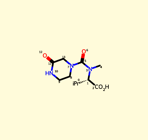 CC(C)[C@@H](C(=O)O)N(C)C(=O)N1CCNC(=O)C1